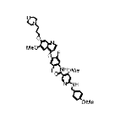 COc1ccc(CNc2cc(OC)c(C(=O)Nc3cc(F)c(Oc4ccnc5cc(OCCCN6CCOCC6)c(OC)cc45)cc3F)cn2)cc1